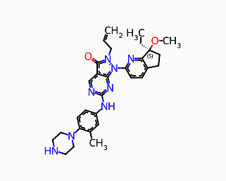 C=CCn1c(=O)c2cnc(Nc3ccc(N4CCNCC4)c(C)c3)nc2n1-c1ccc2c(n1)[C@@](CC)(OC)CC2